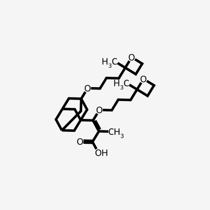 CC(C(=O)O)=C(OCCCC1(C)CCO1)C12CC3CC(CC(OCCCC4(C)CCO4)(C3)C1)C2